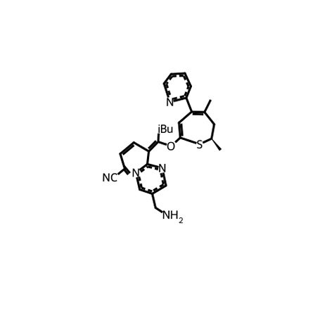 C=C(C#N)/C=C\C(=C(\OC1=CC(c2ccccn2)=C(C)C[C@@H](C)S1)C(C)CC)c1ncc(CN)cn1